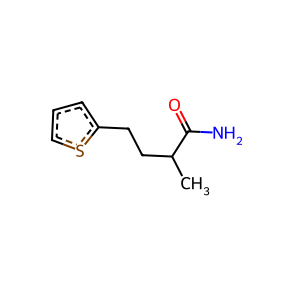 CC(CCc1cccs1)C(N)=O